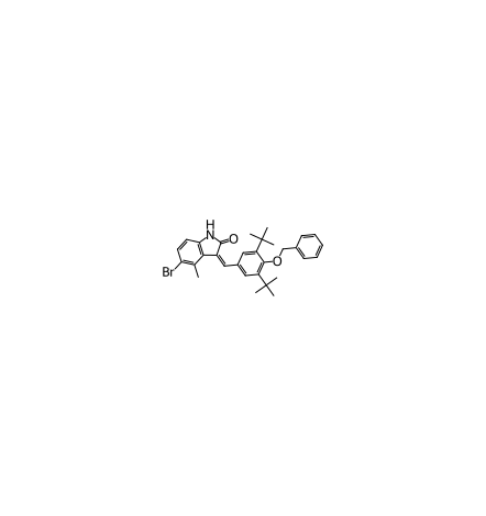 Cc1c(Br)ccc2c1C(=Cc1cc(C(C)(C)C)c(OCc3ccccc3)c(C(C)(C)C)c1)C(=O)N2